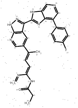 C=N/C(=C\C=C(/C)c1cnc2[nH]nc(-c3nc4c(-c5ccc(F)cc5)cncc4[nH]3)c2c1)NC(=O)CC